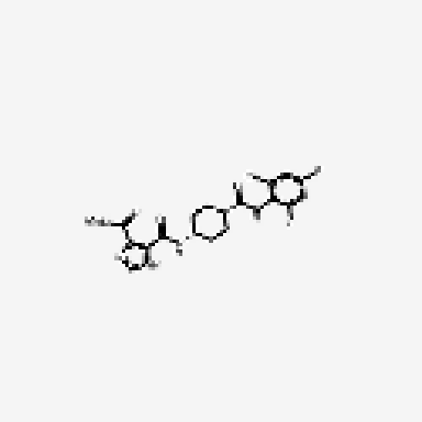 CNC(=O)c1nc[nH]c1C(=O)N[C@H]1CC[C@H](C(=O)Nc2c(F)cc(F)cc2Cl)CC1